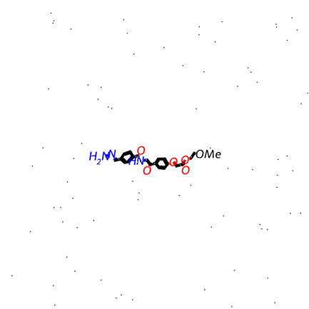 COCCOC(=O)COc1ccc(C(=O)CNC(=O)c2ccc(C=NN)cc2)cc1